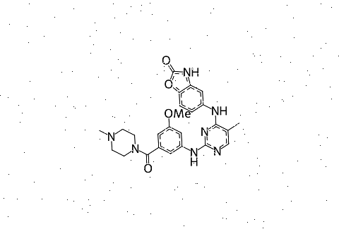 COc1cc(Nc2ncc(C)c(Nc3ccc4oc(=O)[nH]c4c3)n2)cc(C(=O)N2CCN(C)CC2)c1